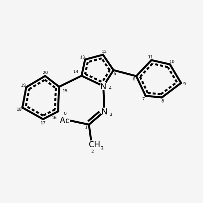 CC(=O)/C(C)=N\n1c(-c2ccccc2)ccc1-c1ccccc1